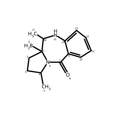 BC12CCC(C)N1C(=O)c1ccccc1NC2C